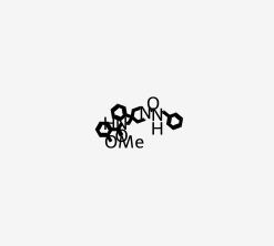 COc1ccccc1C(=O)NCC1(c2ccccc2)CCN(C(=O)NCc2ccccc2)CC1